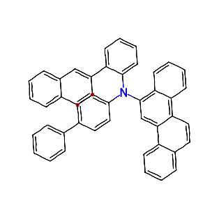 c1ccc(-c2ccc(N(c3ccccc3-c3ccc4ccccc4c3)c3cc4c5ccccc5ccc4c4ccccc34)cc2)cc1